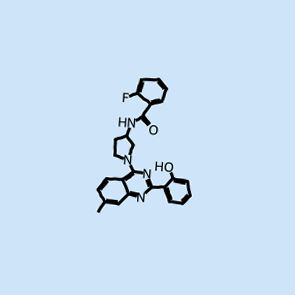 Cc1ccc2c(N3CCC(NC(=O)c4ccccc4F)C3)nc(-c3ccccc3O)nc2c1